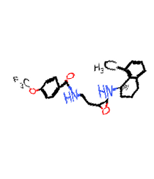 Cc1cccc2c1[C@H](NC1OC1CCNC(=O)c1ccc(OC(F)(F)F)cc1)CCC2